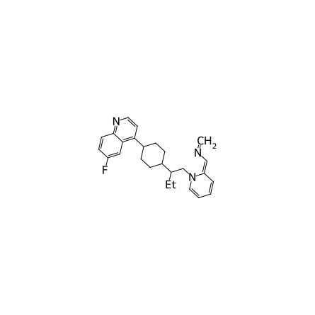 C=N/C=C1/C=CC=CN1CC(CC)C1CCC(c2ccnc3ccc(F)cc23)CC1